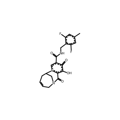 Cc1cc(F)c(CNC(=O)c2cn3c(c(O)c2=O)C(=O)N2CC=CCC3C2)c(F)c1